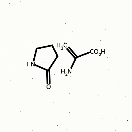 C=C(N)C(=O)O.O=C1CCCN1